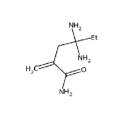 C=C(CC(N)(N)CC)C(N)=O